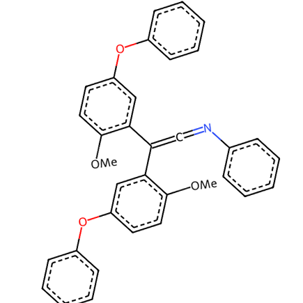 COc1ccc(Oc2ccccc2)cc1C(=C=Nc1ccccc1)c1cc(Oc2ccccc2)ccc1OC